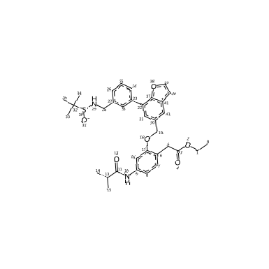 CCOC(=O)Cc1ccc(NC(=O)C(C)C)cc1OCc1cc(-c2cccc(CN[S+]([O-])C(C)(C)C)c2)c2occc2c1